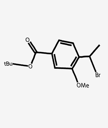 COc1cc(C(=O)OC(C)(C)C)ccc1C(C)Br